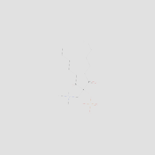 CCCCCC(=O)C(C[N+](C)(C)C)(OP(=O)([O-])O)C(=O)CCCCC